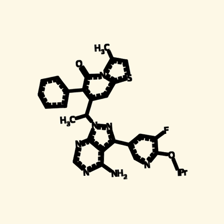 Cc1csc2cc(C(C)n3nc(-c4cnc(OC(C)C)c(F)c4)c4c(N)ncnc43)c(-c3ccccc3)c(=O)n12